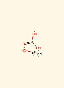 CCCO.O=[Se](O)O.[NaH]